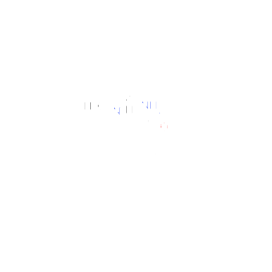 CN(C)CC(=CC1CCCCC1)C(N)=O